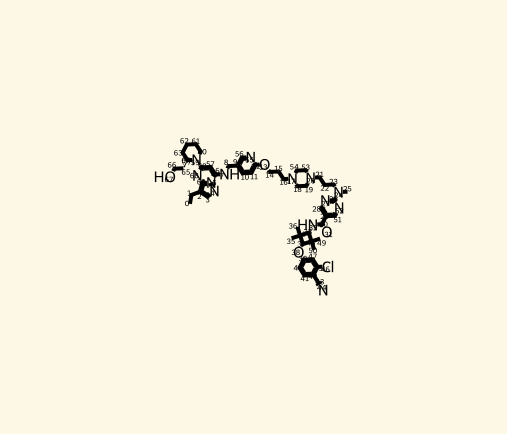 CCc1cnn2c(NCc3ccc(OCCCN4CCN(CCCN(C)c5ncc(C(=O)N[C@H]6C(C)(C)[C@H](Oc7ccc(C#N)c(Cl)c7)C6(C)C)cn5)CC4)nc3)cc(N3CCCC[C@H]3CCO)nc12